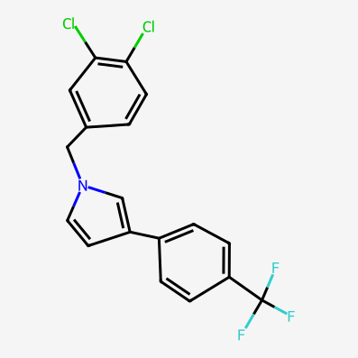 FC(F)(F)c1ccc(-c2ccn(Cc3ccc(Cl)c(Cl)c3)c2)cc1